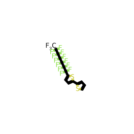 FC(F)(F)C(F)(F)C(F)(F)C(F)(F)C(F)(F)C(F)(F)C(F)(F)c1ccc(-c2cccs2)s1